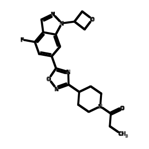 CCC(=O)N1CCC(c2noc(-c3cc(F)c4cnn(C5COC5)c4c3)n2)CC1